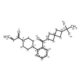 C=CC(=O)N1CCN(c2nccnc2C(=O)N2CC3(CC(C(C)(F)F)C3)C2)CC1